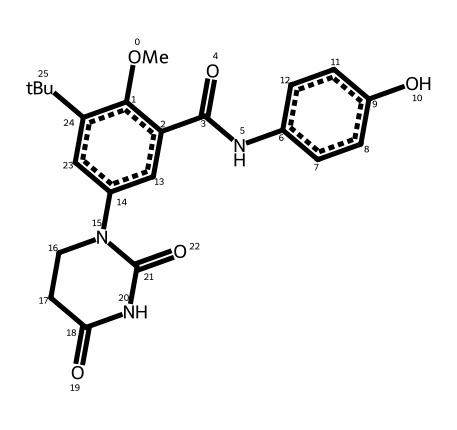 COc1c(C(=O)Nc2ccc(O)cc2)cc(N2CCC(=O)NC2=O)cc1C(C)(C)C